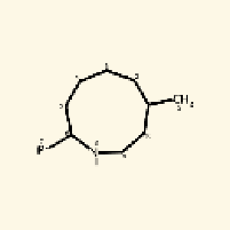 CC1CCCCC(C(C)C)NCC1